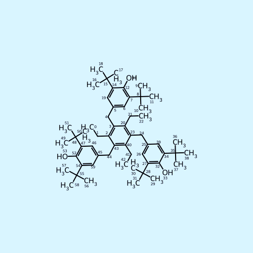 CCc1c(Cc2cc(C(C)(C)C)c(O)c(C(C)(C)C)c2)c(CC)c(Cc2cc(C(C)(C)C)c(O)c(C(C)(C)C)c2)c(CC)c1Cc1cc(C(C)(C)C)c(O)c(C(C)(C)C)c1